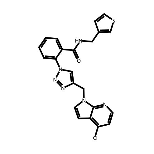 O=C(NCc1ccsc1)c1ccccc1-n1cc(Cn2ccc3c(Cl)ccnc32)nn1